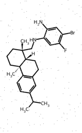 CC(C)c1ccc2c(c1)CC[C@H]1[C@@](C)(CNc3cc(F)c(Br)cc3N)CCC[C@]21C